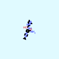 Cc1cc2nc(C(O)Nc3ccc(N4CCN(C5CC5)CC4)cc3C(N)=O)cn2c(C)n1